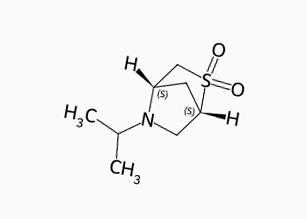 CC(C)N1C[C@@H]2C[C@H]1CS2(=O)=O